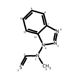 CN([C]=S)n1nnc2ccccc21